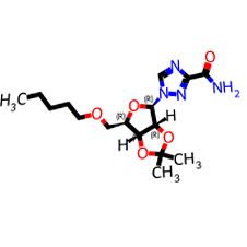 CCCCCOC[C@H]1O[C@@H](n2cnc(C(N)=O)n2)[C@@H]2OC(C)(C)O[C@@H]21